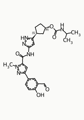 CC(C)NC(=O)O[C@@H]1CC[C@H](c2cc(NC(=O)c3cc(-c4ccc(O)c(C=O)c4)nn3C)n[nH]2)C1